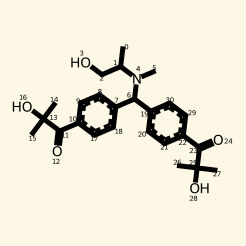 CC(CO)N(C)C(c1ccc(C(=O)C(C)(C)O)cc1)c1ccc(C(=O)C(C)(C)O)cc1